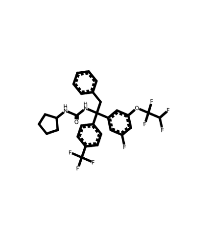 O=C(NC1CCCC1)NC(Cc1ccccc1)(c1ccc(C(F)(F)F)cc1)c1cc(F)cc(OC(F)(F)C(F)F)c1